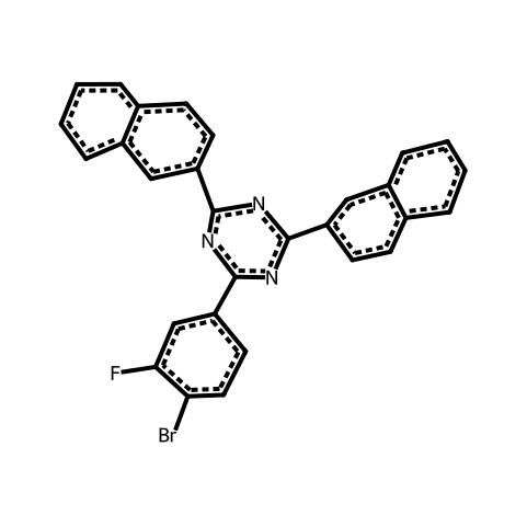 Fc1cc(-c2nc(-c3ccc4ccccc4c3)nc(-c3ccc4ccccc4c3)n2)ccc1Br